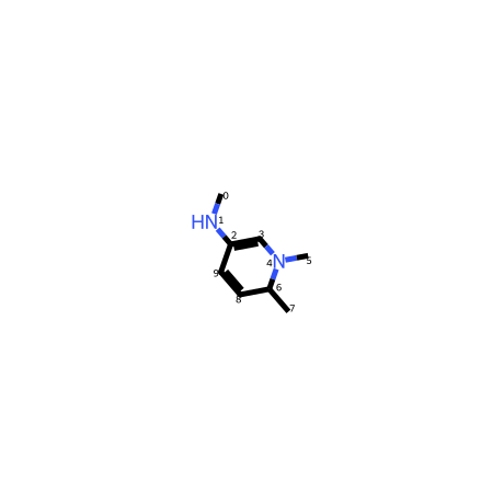 CNC1=CN(C)C(C)C=C1